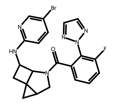 O=C(c1cccc(F)c1-n1nccn1)N1CC2CC23CC(Nc2ccc(Br)cn2)C13